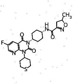 CC1CC(C(=O)N[C@H]2CC[C@@H](n3c(=O)c4cc(F)cnc4n(C4CCSCC4)c3=O)CC2)=NO1